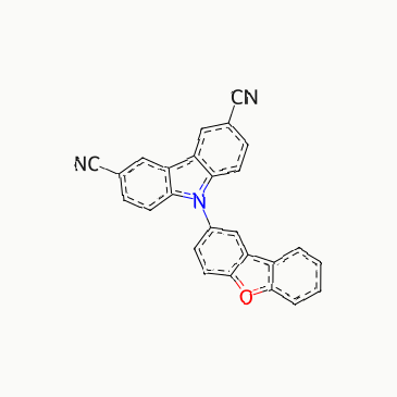 N#Cc1ccc2c(c1)c1cc(C#N)ccc1n2-c1ccc2oc3ccccc3c2c1